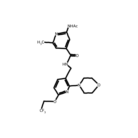 CC(=O)Nc1cc(C(=O)NCc2ccc(OCC(F)(F)F)nc2N2CCOCC2)cc(C)n1